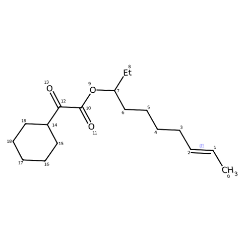 C/C=C/CCCCC(CC)OC(=O)C(=O)C1CCCCC1